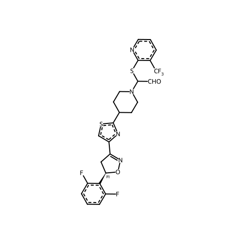 O=CC(Sc1ncccc1C(F)(F)F)N1CCC(c2nc(C3=NO[C@@H](c4c(F)cccc4F)C3)cs2)CC1